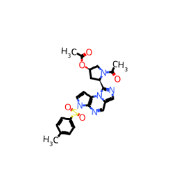 CC(=O)O[C@@H]1C[C@H](c2ncc3cnc4c(ccn4S(=O)(=O)c4ccc(C)cc4)n23)N(C(C)=O)C1